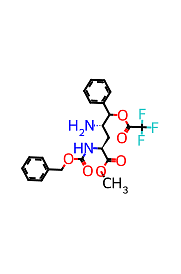 COC(=O)[C@H](C[C@H](N)C(OC(=O)C(F)(F)F)c1ccccc1)NC(=O)OCc1ccccc1